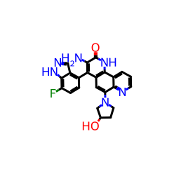 Nc1c(-c2ccc(F)c3[nH]ncc23)c2cc(N3CCC(O)C3)c3ncccc3c2[nH]c1=O